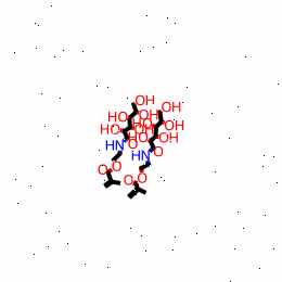 C=C(C)C(=O)OCCNC(=O)C(O)C(O)C(O)C(O)CO.C=C(C)C(=O)OCCNC(=O)C(O)C(O)C(O)C(O)CO